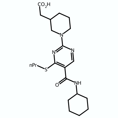 CCCSc1nc(N2CCCC(CC(=O)O)C2)ncc1C(=O)NC1CCCCC1